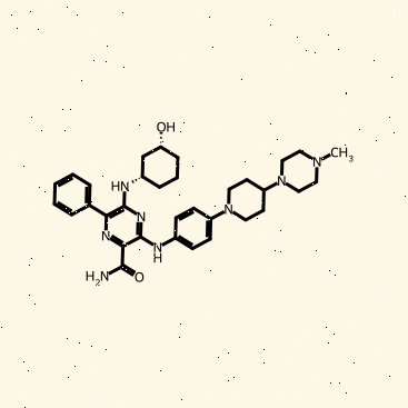 CN1CCN(C2CCN(c3ccc(Nc4nc(N[C@H]5CCC[C@@H](O)C5)c(-c5ccccc5)nc4C(N)=O)cc3)CC2)CC1